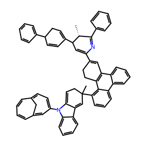 C[C@@H]1C(c2ccccc2)=NC(C2=Cc3c(c4c(C5(C)C=c6c(n(C7=CC=C8C=CC=CC(=C7)C8)c7ccccc67)=CC5)cccc4c4ccccc34)CC2)=CC1C1=CCC(c2ccccc2)C=C1